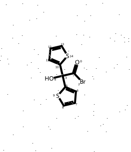 O=C(Br)C(O)(c1cccs1)c1cccs1